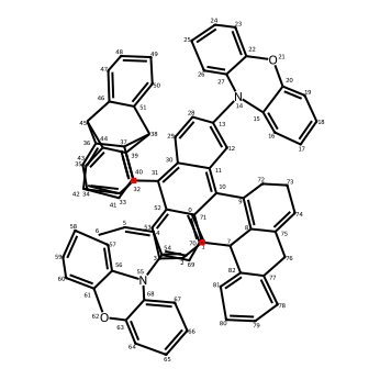 C=C(/C=C\C=C/C)C1C2=C(c3c4cc(N5c6ccccc6Oc6ccccc65)ccc4c(-c4cccc5c4C4c6ccccc6C5c5ccccc54)c4cc(N5c6ccccc6Oc6ccccc65)ccc34)CCC=C2Cc2ccccc21